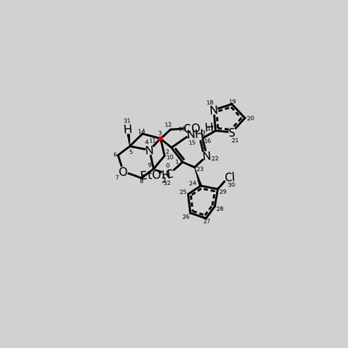 CCOC(=O)C1=C(CN2[C@@H]3COC[C@H]2CC(CC(=O)O)C3)NC(c2nccs2)=N[C@H]1c1ccccc1Cl